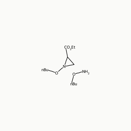 CCCCON.CCCCON1CC1C(=O)OCC